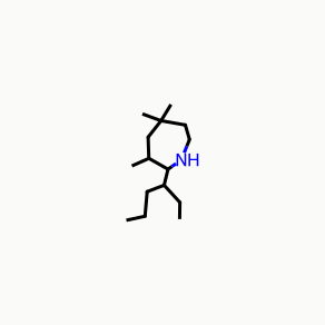 CCCC(CC)C1NCCC(C)(C)CC1C